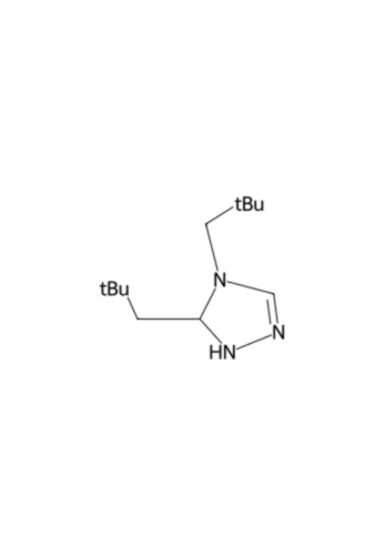 CC(C)(C)CC1NN=CN1CC(C)(C)C